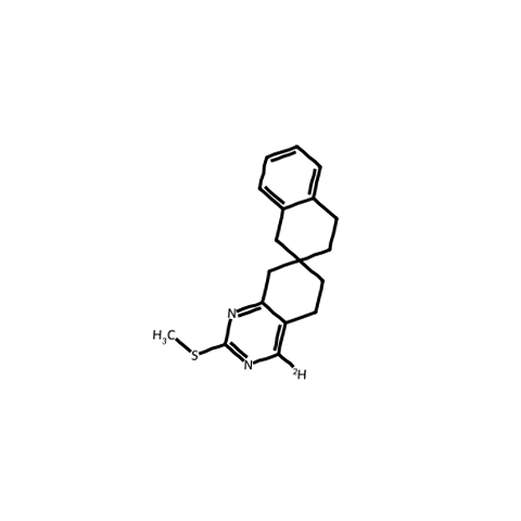 [2H]c1nc(SC)nc2c1CCC1(CCc3ccccc3C1)C2